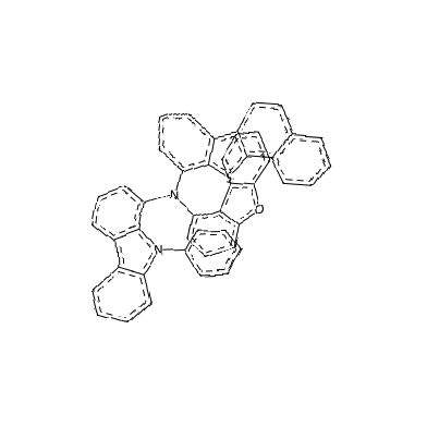 c1ccc(-n2c3ccccc3c3cccc(N(c4cccc5c4sc4c6ccccc6ccc54)c4cccc5oc6ccccc6c45)c32)cc1